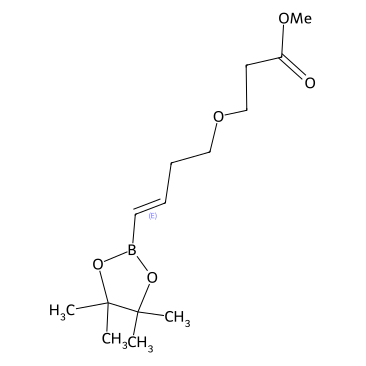 COC(=O)CCOCC/C=C/B1OC(C)(C)C(C)(C)O1